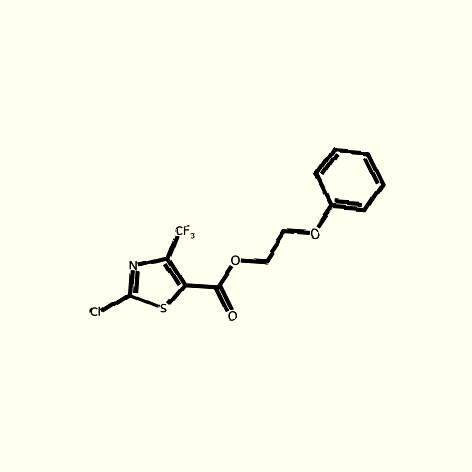 O=C(OCCOc1ccccc1)c1sc(Cl)nc1C(F)(F)F